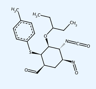 CCC(CC)O[C@H]1[C@H](N=C=O)[C@@H](N=O)C[C@@H](C=O)[C@H]1Sc1ccc(C)cc1